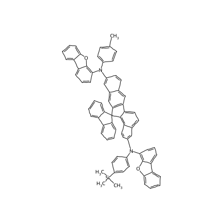 Cc1ccc(N(c2ccc3cc4c(cc3c2)C2(c3ccccc3-c3ccccc32)c2c-4ccc3cc(N(c4ccc([Si](C)(C)C)cc4)c4cccc5c4oc4ccccc45)ccc23)c2cccc3c2oc2ccccc23)cc1